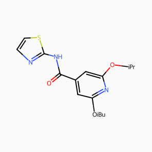 CC(C)COc1cc(C(=O)Nc2nccs2)cc(OC(C)C)n1